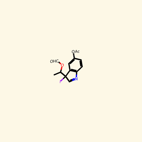 CC(=O)Oc1ccc2c(c1)C(I)(C(C)OC=O)C=N2